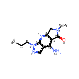 CCCN1Cc2nc3c(cnn3CCC(C)C)c(N)c2C1=O